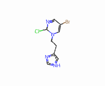 ClC1N=CC(Br)=CN1CCc1c[nH]cn1